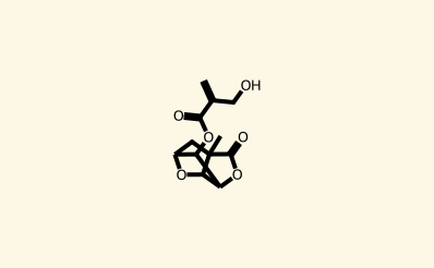 C=C(CO)C(=O)OC1C2CC3(C)C(=O)OC1C3O2